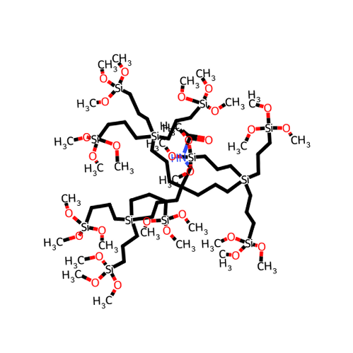 CO[Si](CCC[Si](CCCC(CCC[Si](CCC[Si](OC)(OC)OC)(CCC[Si](OC)(OC)OC)CCC[Si](OC)(OC)OC)(CCC[Si](CCC[Si](OC)(OC)OC)(CCC[Si](OC)(OC)OC)CCC[Si](OC)(OC)OC)CNC(C)=O)(CCC[Si](OC)(OC)OC)CCC[Si](OC)(OC)OC)(OC)OC